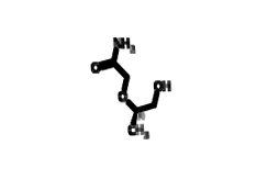 C[C@H](CO)OCC(N)=O